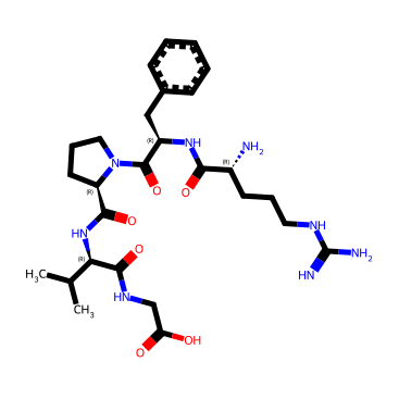 CC(C)[C@@H](NC(=O)[C@H]1CCCN1C(=O)[C@@H](Cc1ccccc1)NC(=O)[C@H](N)CCCNC(=N)N)C(=O)NCC(=O)O